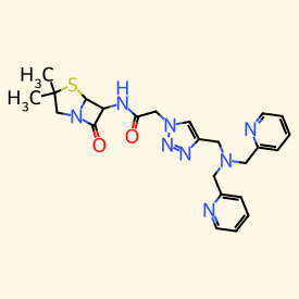 CC1(C)CN2C(=O)C(NC(=O)Cn3cc(CN(Cc4ccccn4)Cc4ccccn4)nn3)C2S1